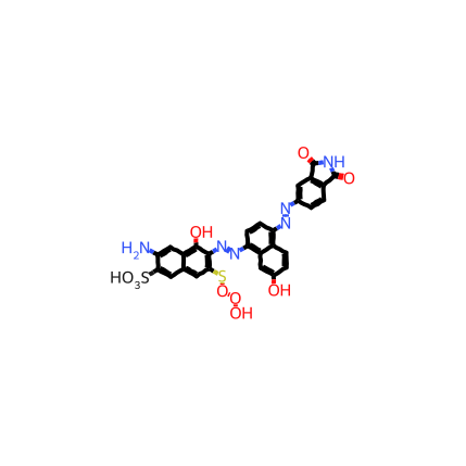 Nc1cc2c(O)c(N=Nc3ccc(N=Nc4ccc5c(c4)C(=O)NC5=O)c4ccc(O)cc34)c(SOOO)cc2cc1S(=O)(=O)O